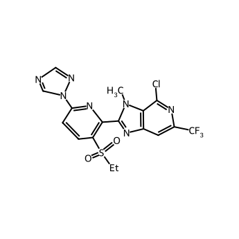 CCS(=O)(=O)c1ccc(-n2cncn2)nc1-c1nc2cc(C(F)(F)F)nc(Cl)c2n1C